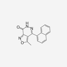 Cc1onc2c(=O)[nH]nc(-c3cccc4ccccc34)c12